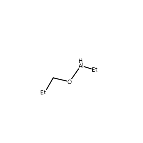 CCC[O][AlH][CH2]C